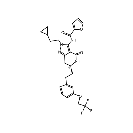 O=C(Nc1c2c(nn1CCC1CC1)C[C@H](CCc1cccc(OCC(F)(F)F)c1)NC2=O)c1ccco1